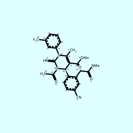 CNC(=O)Cc1cc(C#N)ccc1[C@@H]1C(C(=O)OC)=C(C)N(c2cccc(C(F)(F)F)c2)C(=N)N1C(N)=O